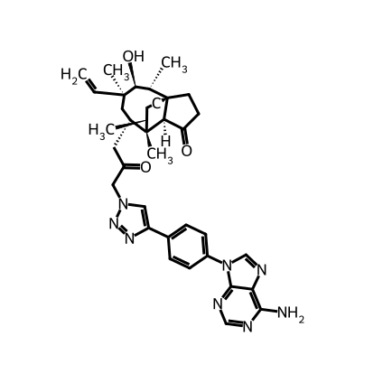 C=C[C@]1(C)C[C@@H](CC(=O)Cn2cc(-c3ccc(-n4cnc5c(N)ncnc54)cc3)nn2)[C@]2(C)[C@H](C)CC[C@]3(CCC(=O)[C@H]32)[C@@H](C)[C@@H]1O